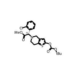 COC(=O)[C@H](c1ccccc1Cl)N1CCc2sc(OC(=O)OC(C)(C)C)cc2C1